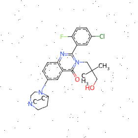 CC(C)(CO)Cn1c(-c2cc(Cl)ccc2F)nc2ccc(N3CCN4CCC3CC4)cc2c1=O